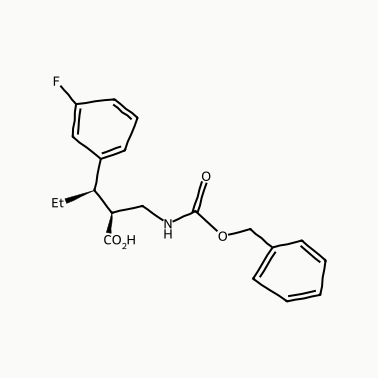 CC[C@@H](c1cccc(F)c1)[C@@H](CNC(=O)OCc1ccccc1)C(=O)O